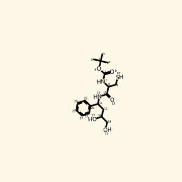 CC(C)(C)OC(=O)NC(CS)C(=O)NC(CC(O)CO)c1ccccc1